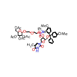 COc1ccc(C(OC[C@H]2O[C@@H](n3cc(C)c(=O)[nH]c3=O)CC2OP(=O)(OCCOCCO[C@@H]2O[C@H](COC(C)=O)[C@@H](OC(C)=O)[C@H](OC(C)=O)[C@H]2OC(C)=O)N(C(C)C)C(C)C)(c2ccccc2)c2ccc(OC)cc2)cc1